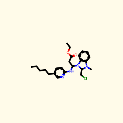 CCCCCc1ccc(NC(CC(=O)OCC)N2c3ccccc3N(C)C2CCl)nc1